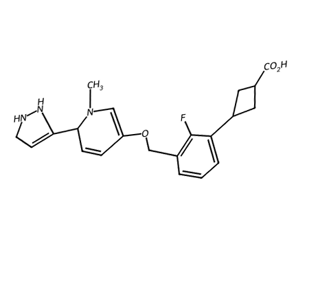 CN1C=C(OCc2cccc(C3CC(C(=O)O)C3)c2F)C=CC1C1=CCNN1